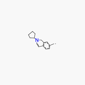 [CH2]c1ccc2c(c1)CN(C1CCCC1)C=C2